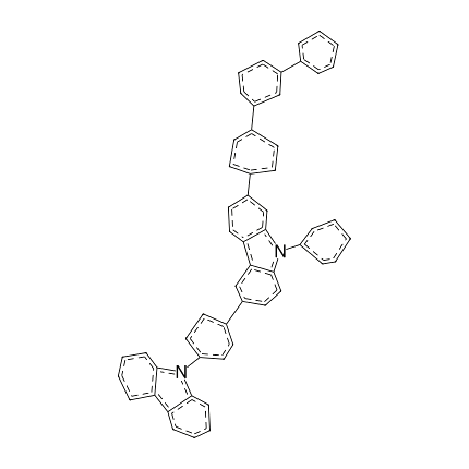 c1ccc(-c2cccc(-c3ccc(-c4ccc5c6cc(-c7ccc(-n8c9ccccc9c9ccccc98)cc7)ccc6n(-c6ccccc6)c5c4)cc3)c2)cc1